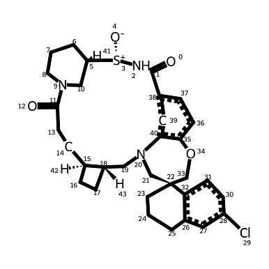 O=C1N[S@@+]([O-])[C@H]2CCCN(C2)C(=O)CC[C@@H]2CC[C@H]2CN2C[C@@]3(CCCc4cc(Cl)ccc43)COc3ccc1cc32